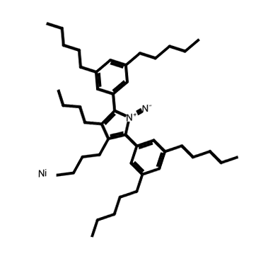 CCCCCc1cc(CCCCC)cc(C2=C(CCCC)C(CCCC)=C(c3cc(CCCCC)cc(CCCCC)c3)[N+]2=[N-])c1.[Ni]